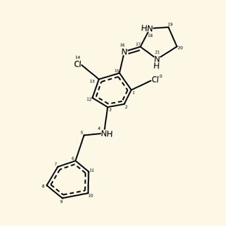 Clc1cc(NCc2ccccc2)cc(Cl)c1N=C1NCCN1